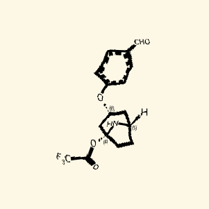 O=Cc1ccc(O[C@@H]2C[C@@H]3CC[C@@](OC(=O)C(F)(F)F)(C2)N3)cc1